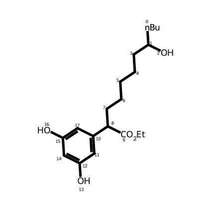 CCCCC(O)CCCCCC(C(=O)OCC)c1cc(O)cc(O)c1